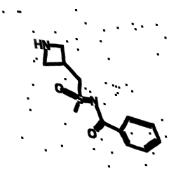 CS(=O)(CC1CNC1)=NC(=O)c1ccccc1